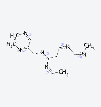 C/C=N\C(C/C=N\C=N/C)=N/CC(/C=N\C)=N/C